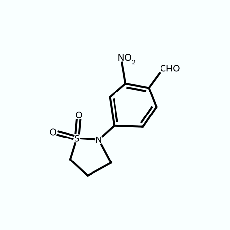 O=Cc1ccc(N2CCCS2(=O)=O)cc1[N+](=O)[O-]